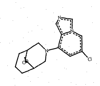 Clc1cc(N2CC3CCCC(C2)C32OCCO2)c2cncn2c1